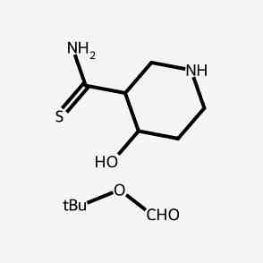 CC(C)(C)OC=O.NC(=S)C1CNCCC1O